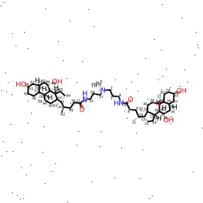 CCCN(CCCNC(=O)CC[C@@H](C)[C@H]1CC[C@H]2[C@@H]3[C@@H](O)C[C@@H]4C[C@H](O)CC[C@]4(C)[C@H]3CC[C@]12C)CCCNC(=O)CC[C@@H](C)[C@H]1CC[C@H]2[C@@H]3[C@@H](O)C[C@@H]4C[C@H](O)CC[C@]4(C)[C@H]3CC[C@]12C